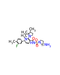 Cc1ccc(-c2ccc(C(=O)NS(=O)(=O)N3CC[C@H](N)C3)c(N3CCC(C)C3(C)C)n2)cc1F